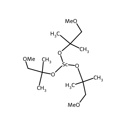 COCC(C)(C)[O][Sc]([O]C(C)(C)COC)[O]C(C)(C)COC